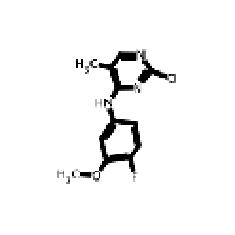 COc1cc(Nc2nc(Cl)ncc2C)ccc1F